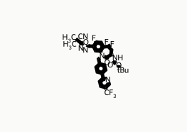 CC(C)(C)OC(=O)N[C@H]1CC(F)(F)c2cc(F)c(-c3nnc(C(C)(C)C#N)o3)cc2N(Cc2ccc(-c3ccc(C(F)(F)F)cn3)cc2)C1=O